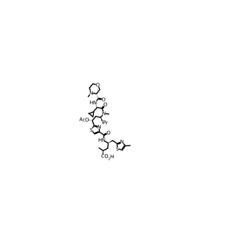 CC(=O)O[C@H](C[C@H](C(C)C)N(C)C(=O)[C@@H](NC(=O)[C@H]1COCCN1C)C1CC1)c1nc(C(=O)N[C@@H](Cc2nc(C)cs2)C[C@H](C)C(=O)O)cs1